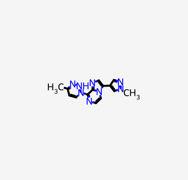 CC1=NNN(c2nccn3c(-c4cnn(C)c4)cnc23)C=C1